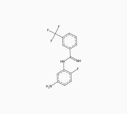 N=C(Nc1cc(N)ccc1F)c1cccc(C(F)(F)F)c1